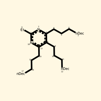 C[CH]c1nc(CCCCCCCCCCCCC)c(CCCCCCCCCCCCC)c(CCCCCCCCCCCCC)n1